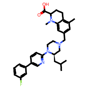 Cc1cc(CN2CCN(c3ccc(-c4cccc(F)c4)cn3)[C@H](CC(C)C)C2)cc2c1CCC(C(=O)O)N2C